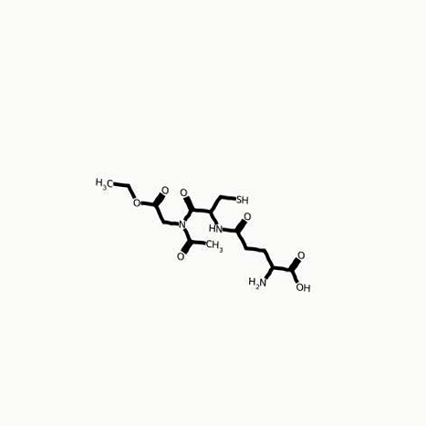 CCOC(=O)CN(C(C)=O)C(=O)C(CS)NC(=O)CCC(N)C(=O)O